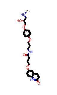 CC(C)NC[C@H](O)COc1ccc(OCCCNC(=O)CCCOc2ccc3[nH]c(=O)ccc3c2)cc1